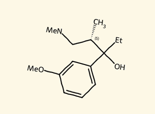 CCC(O)(c1cccc(OC)c1)[C@@H](C)CNC